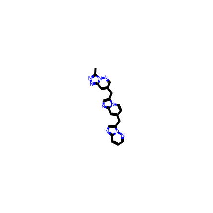 Cc1nnc2cc(Cc3cnc4cc(Cc5cnc6cccnn56)ccn34)cnn12